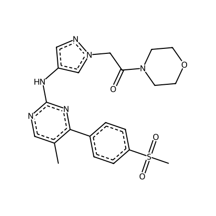 Cc1cnc(Nc2cnn(CC(=O)N3CCOCC3)c2)nc1-c1ccc(S(C)(=O)=O)cc1